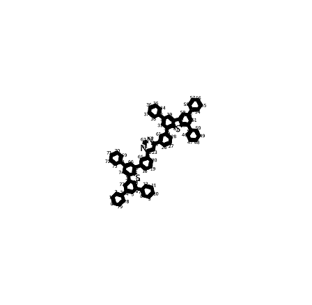 c1ccc(-c2cc(-c3ccccc3)c3sc4c(-c5cccc(-c6cc(-c7cccc(-c8cc(-c9ccccc9)cc9c8sc8c(-c%10ccccc%10)cc(-c%10ccccc%10)cc89)c7)ncn6)c5)cc(-c5ccccc5)cc4c3c2)cc1